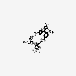 COCC1OC(n2nc(CCCNC(=O)c3ccc(C(=O)O)c(-c4c5ccc(=[N+](C)C)cc-5oc5cc(N(C)C)ccc45)c3)c3c(=O)[nH]c(N)nc32)CC1OP(C)(=O)O